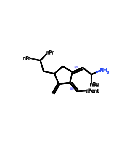 C=C1C(=C/CCCCC)/C(=C\C(N)CCCC)CC1CC(CCC)CCC